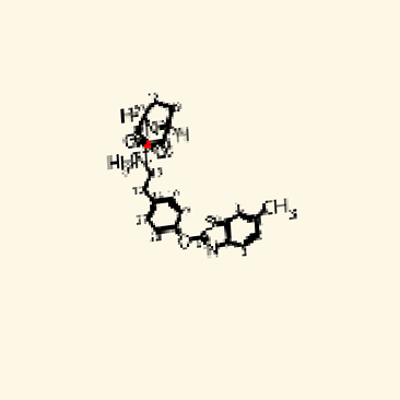 Cc1ccc2nc(Oc3ccc(CCN[C@@H]4C[C@H]5CC[C@@H](C4)N5S(C)(=O)=O)cc3)sc2c1